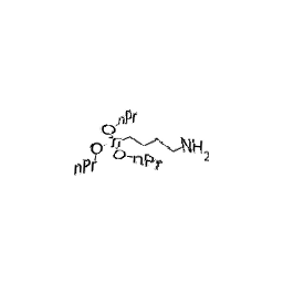 CCC[O][Ti]([CH2]CCCN)([O]CCC)[O]CCC